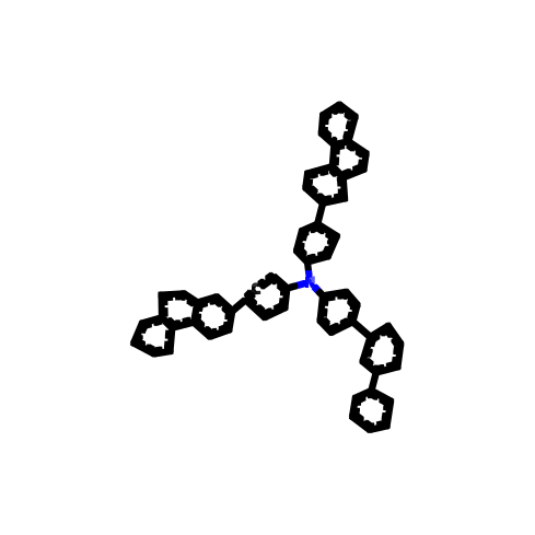 c1ccc(-c2cccc(-c3ccc(N(c4ccc(-c5ccc6c(ccc7ccccc76)c5)cc4)c4ccc(-c5ccc6c(ccc7ccccc76)c5)cc4)cc3)c2)cc1